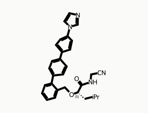 CC(C)C[C@H](OCc1ccccc1-c1ccc(-c2ccc(-n3ccnc3)cc2)cc1)C(=O)NCC#N